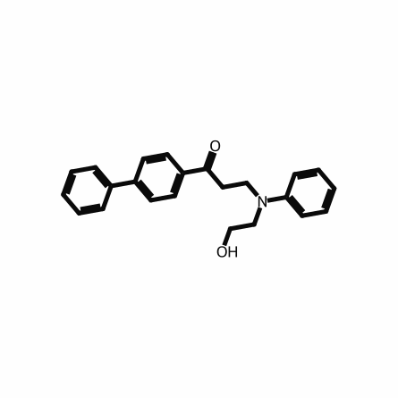 O=C(CCN(CCO)c1ccccc1)c1ccc(-c2ccccc2)cc1